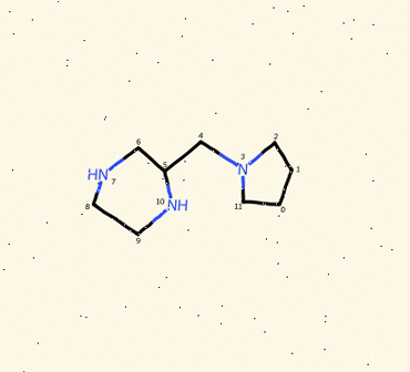 C1CCN(CC2CNCCN2)C1